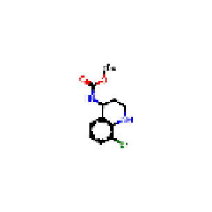 CC(C)(C)OC(=O)NC1CCNc2c(Br)cccc21